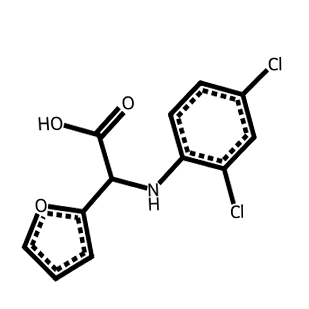 O=C(O)C(Nc1ccc(Cl)cc1Cl)c1ccco1